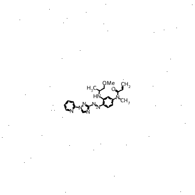 C=CC(=O)N(C)c1ccc(N=Nc2ncn(-c3ccccn3)n2)c(NC(C)COC)c1